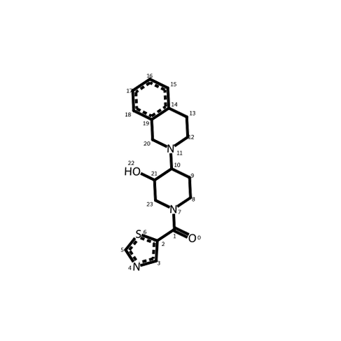 O=C(c1cncs1)N1CCC(N2CCc3ccccc3C2)C(O)C1